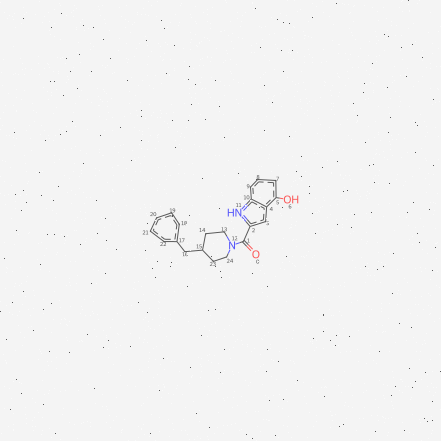 O=C(c1cc2c(O)cccc2[nH]1)N1CCC(Cc2ccccc2)CC1